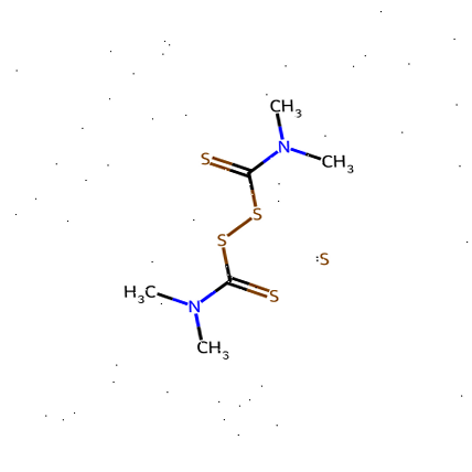 CN(C)C(=S)SSC(=S)N(C)C.[S]